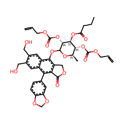 C=CCOC(=O)O[C@H]1[C@H](OC(=O)CCC)[C@@H](OC(=O)OCC=C)C(Oc2c3c(c(-c4ccc5c(c4)OCO5)c4cc(CO)c(CO)cc24)C(=O)OC3)O[C@@H]1C